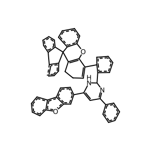 C1=C(c2ccc3c(c2)oc2ccccc23)NC(c2ccccc2C2=CCCC3=C2Oc2ccccc2C32c3ccccc3-c3ccccc32)N=C1c1ccccc1